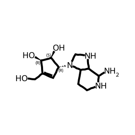 NC1NCCC2C1NCN2[C@@H]1C=C(CO)[C@@H](O)[C@H]1O